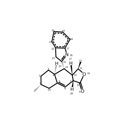 C[C@@H]1CC[C@@H]2C(=C[C@H]3C(=O)O[C@H](C)[C@H]3[C@H]2C2=Nc3ccccc3C2)C1